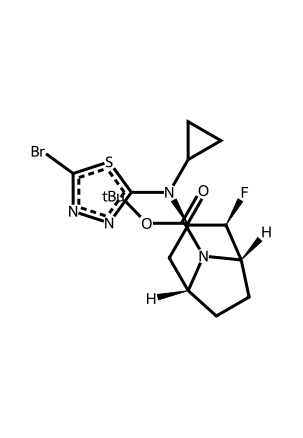 CC(C)(C)OC(=O)N1[C@@H]2CC[C@H]1[C@H](F)[C@H](N(c1nnc(Br)s1)C1CC1)C2